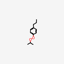 CCCc1ccc(OOC(C)C)cc1